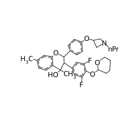 CCCN1CC(Oc2ccc(C3Oc4cc(C)ccc4C(C)(O)C3c3cc(F)c(OC4CCCCO4)c(F)c3)cc2)C1